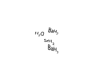 O.[BaH2].[BaH2].[SrH2]